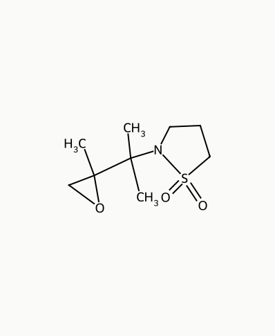 CC1(C(C)(C)N2CCCS2(=O)=O)CO1